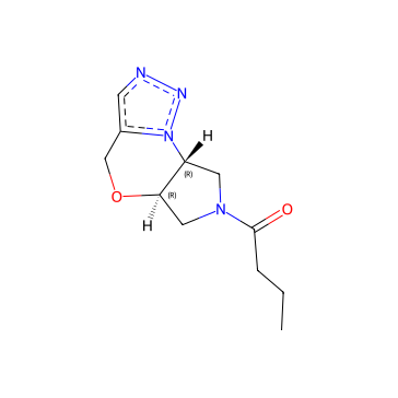 CCCC(=O)N1C[C@@H]2[C@@H](C1)OCc1cnnn12